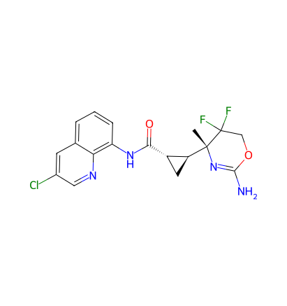 C[C@]1([C@H]2C[C@@H]2C(=O)Nc2cccc3cc(Cl)cnc23)N=C(N)OCC1(F)F